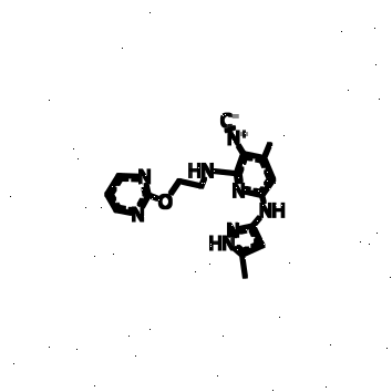 [C-]#[N+]c1c(C)cc(Nc2cc(C)[nH]n2)nc1NCCOc1ncccn1